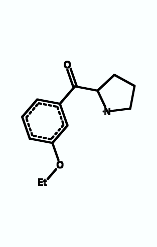 CCOc1cccc(C(=O)C2CCC[N]2)c1